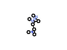 c1ccc(-n2c3ccccc3c3ccc(-c4ccc5c(c4)c4c6ccccc6c6nc7ccccc7n6c4n5-c4ccccc4)cc32)cc1